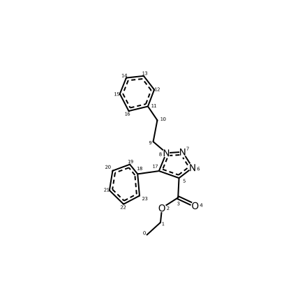 CCOC(=O)c1nnn(CCc2ccccc2)c1-c1ccccc1